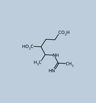 CC(=N)NC(C)C(CCC(=O)O)C(=O)O